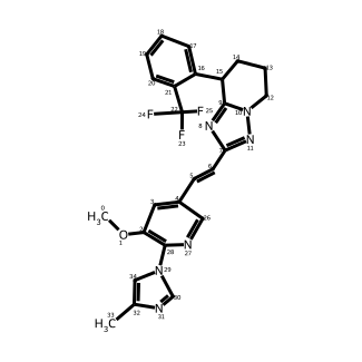 COc1cc(C=Cc2nc3n(n2)CCCC3c2ccccc2C(F)(F)F)cnc1-n1cnc(C)c1